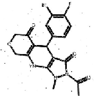 CC(=O)n1c(=O)c2c(n1C)NC1=C(C(=O)COC1)C2c1ccc(F)c(Br)c1